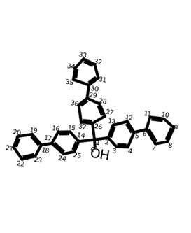 OC(c1ccc(-c2ccccc2)cc1)(c1ccc(-c2ccccc2)cc1)c1ccc(-c2ccccc2)cc1